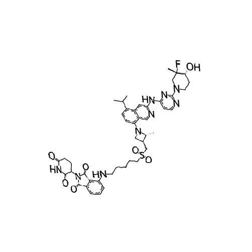 CC(C)c1ccc(N2C[C@H](CS(=O)(=O)CCCCCNc3cccc4c3C(=O)N(C3CCC(=O)NC3=O)C4=O)[C@H]2C)c2cnc(Nc3ccnc(N4CC[C@@H](O)[C@@](C)(F)C4)n3)cc12